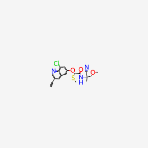 C#Cc1cnc2c(Cl)cc(OC(SC)C(=O)NC(C)(C#N)COC)cc2c1